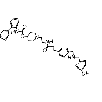 O=C(CCc1ccc(CNCc2ccc(O)cc2)cc1)NCCN1CCC(OC(=O)Nc2ccccc2-c2ccccc2)CC1